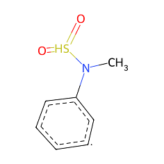 CN(c1c[c]ccc1)[SH](=O)=O